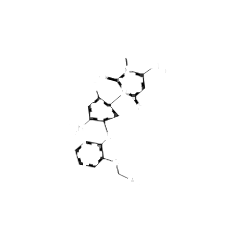 CC(=O)COc1ccccc1Sc1cc(-n2c(=O)cc(C(F)(F)F)n(C)c2=O)c(F)cc1[N+](=O)[O-]